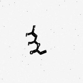 C=CC(=O)OC(F)C=C(F)F